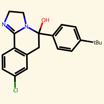 CC(C)(C)c1ccc(C2(O)Cc3cc(Cl)ccc3C3=NCCN32)cc1